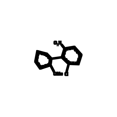 COc1ccccc1-c1c(Cl)cccc1[N+](=O)[O-]